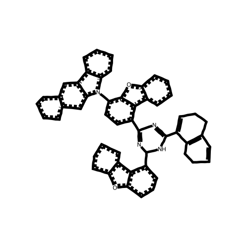 C1=CC2=C(CC1)C(C1=NC(c3ccc(-n4c5ccccc5c5cc6ccccc6cc54)c4oc5ccccc5c34)=NC(c3cccc4oc5ccccc5c34)N1)=CCC2